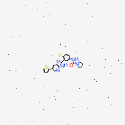 O=C(Nc1ccc(F)c(-c2nc3cc(-c4cccs4)cnc3[nH]2)c1)N1CCCC1